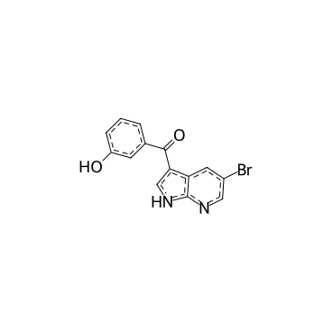 O=C(c1cccc(O)c1)c1c[nH]c2ncc(Br)cc12